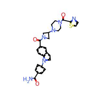 NC(=O)c1ccc(-n2ccc3cc(C(=O)N4CC(N5CCN(C(=O)c6nccs6)CC5)C4)ccc32)cc1